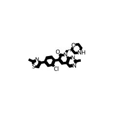 Cc1ncc2cc(-c3ccc(-c4csc(C)n4)cc3Cl)c(=O)n(C[C@H]3CNCCO3)c2n1